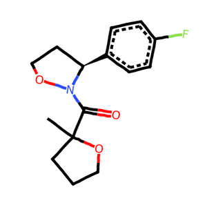 CC1(C(=O)N2OCC[C@H]2c2ccc(F)cc2)CCCO1